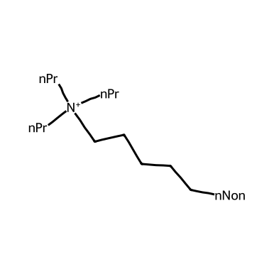 CCCCCCCCCCCCCC[N+](CCC)(CCC)CCC